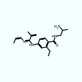 C=C(C)/C(=N\C=C/C)Nc1ccc(C(=O)NCC(C)N)c(CC)c1